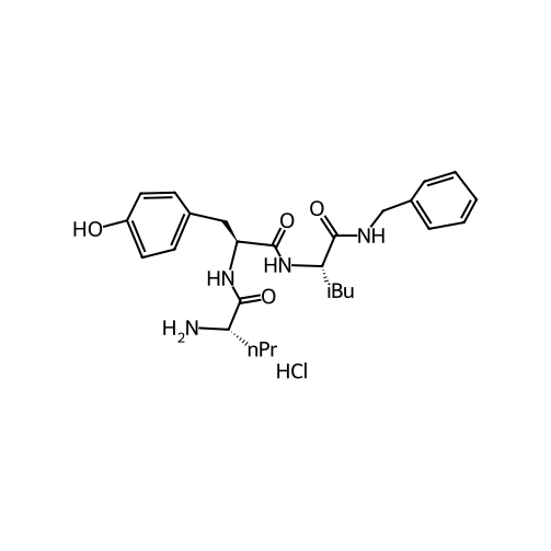 CCC[C@H](N)C(=O)N[C@@H](Cc1ccc(O)cc1)C(=O)N[C@H](C(=O)NCc1ccccc1)C(C)CC.Cl